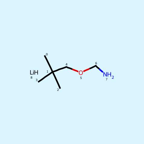 CC(C)(C)COCN.[LiH]